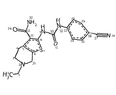 CCN1CCc2c(sc(NC(=O)Nc3ccc(C#N)cc3)c2C(N)=O)C1